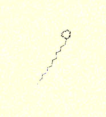 CC(C)NCCNCCCCCCCCc1ccccc1